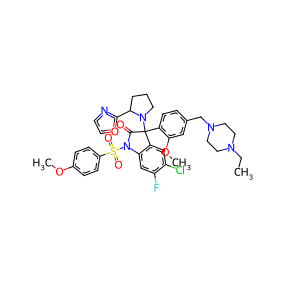 CCN1CCN(Cc2ccc(C3(N4CCCC4c4ncco4)C(=O)N(S(=O)(=O)c4ccc(OC)cc4)c4cc(F)c(Cl)cc43)c(OC)c2)CC1